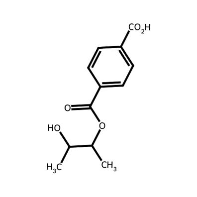 CC(O)C(C)OC(=O)c1ccc(C(=O)O)cc1